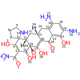 NC(=O)C1=C(O)C2(CCCN2)[C@@H]2C[C@@H]3Cc4c(N)cc(N)c(O)c4C(=O)C3=C(O)[C@]2(O)C1=O